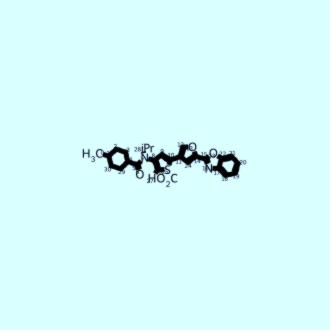 CC1CCC(C(=O)N(c2cc(-c3coc(-c4nc5ccccc5o4)c3)sc2C(=O)O)C(C)C)CC1